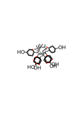 C[Si]1(C)[Si](C)(C)[Si](c2ccc(O)cc2)(c2ccc(O)cc2)[Si](c2ccc(O)cc2)(c2ccc(O)cc2)[Si](c2ccc(O)cc2)(c2ccc(O)cc2)[Si]1(C)C